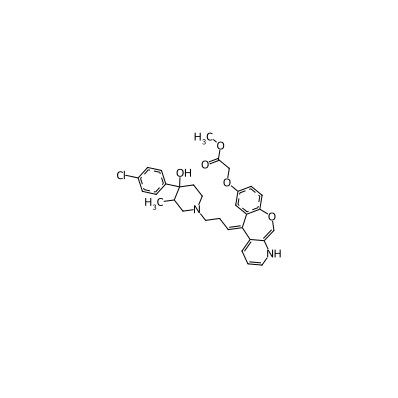 COC(=O)COc1ccc2c(c1)C(=CCCN1CCC(O)(c3ccc(Cl)cc3)C(C)C1)C1=CC=CNC1=CO2